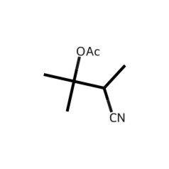 CC(=O)OC(C)(C)C(C)C#N